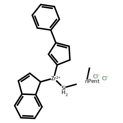 CCCCCC.C[SiH2][Zr+2]([C]1=CC(c2ccccc2)=CC1)[CH]1C=Cc2ccccc21.[Cl-].[Cl-]